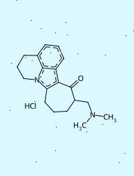 CN(C)CC1CCCc2c(c3cccc4c3n2CCC4)C1=O.Cl